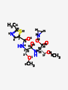 COC[C@H](NC(=O)c1cnc(C)s1)C(=O)N[C@@H](COC)C(=O)ON1CC1